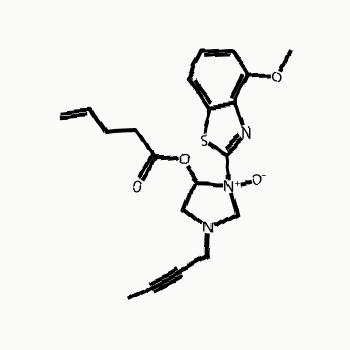 C=CCCC(=O)OC1CN(CC#CC)C[N+]1([O-])c1nc2c(OC)cccc2s1